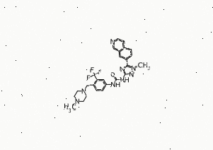 CN1CCN(Cc2ccc(NC(=O)Nc3nc(-c4ccc5ccncc5c4)n(C)n3)cc2C(F)(F)F)CC1